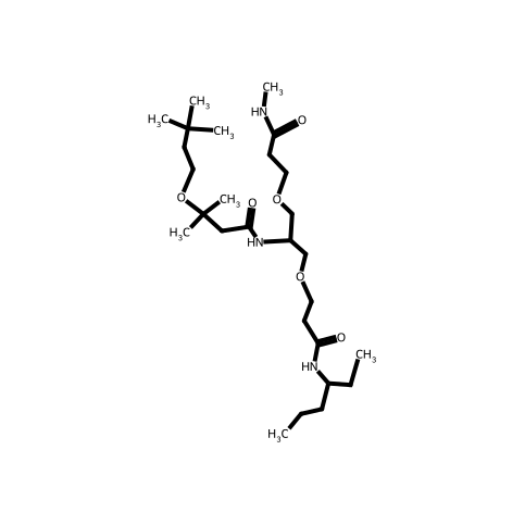 CCCC(CC)NC(=O)CCOCC(COCCC(=O)NC)NC(=O)CC(C)(C)OCCC(C)(C)C